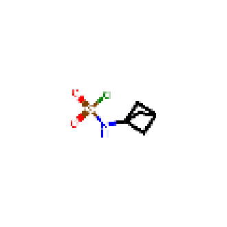 O=S(=O)(Cl)NC12CC(C1)C2